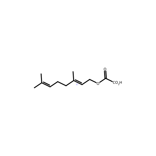 CC(C)=CCC/C(C)=C/COC(=O)C(=O)O